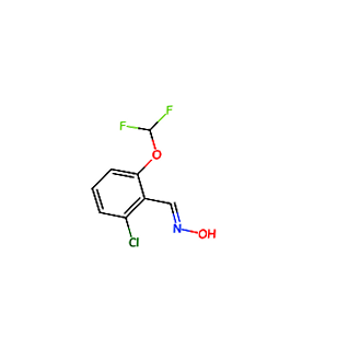 O/N=C/c1c(Cl)cccc1OC(F)F